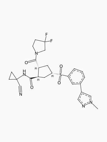 Cn1cc(-c2cccc(S(=O)(=O)[C@@H]3C[C@@H](C(=O)NC4(C#N)CC4)[C@H](C(=O)N4CCC(F)(F)C4)C3)c2)cn1